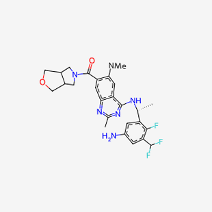 CNc1cc2c(N[C@H](C)c3cc(N)cc(C(F)F)c3F)nc(C)nc2cc1C(=O)N1CC2COCC2C1